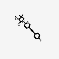 COC1C(=O)N(c2ccc(C#Cc3ccc(F)cc3)cn2)CC1(C)C